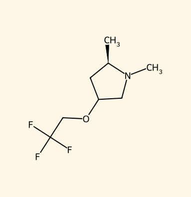 C[C@@H]1CC(OCC(F)(F)F)CN1C